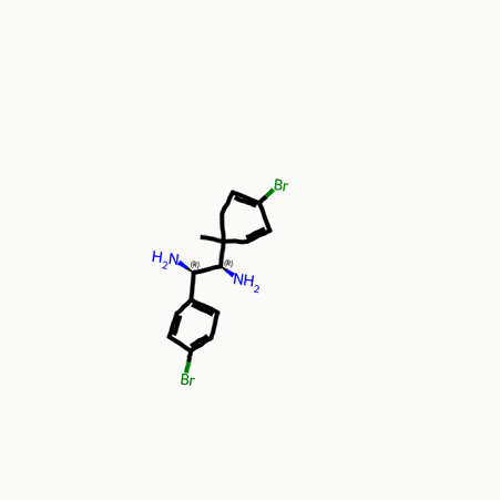 CC1([C@@H](N)[C@H](N)c2ccc(Br)cc2)C=CC(Br)=CC1